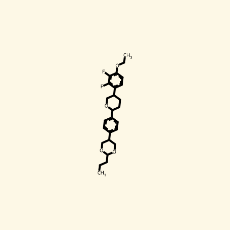 CCCC1OCC(c2ccc(C3CCC(c4ccc(OCC)c(F)c4F)CO3)cc2)CO1